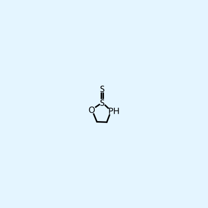 S=S1OCCP1